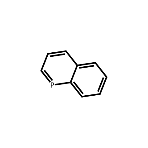 c1ccc2pcccc2c1